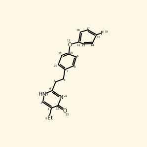 CCc1c[nH]c(CCc2ccc(Oc3ccc(F)cc3)cc2)nc1=O